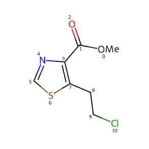 COC(=O)c1ncsc1CCCl